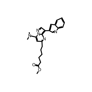 COC(=O)CCCCCc1cc(N(C)C)n2ncc(-c3cnc4ccccc4c3)c2n1